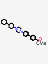 COC(=O)c1ccc(-c2ccc(N3CCN(C4CCC(C5CCCCC5)CC4)CC3)cc2)cc1